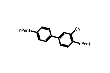 CCCCCc1ccc(-c2ccc(CCCCC)c(C#N)c2)cc1